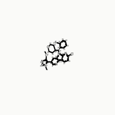 COc1nnn(C)c1-c1cnc2c3ccc(Cl)nc3n([C@H](c3ccccc3F)C3CCOCC3)c2c1